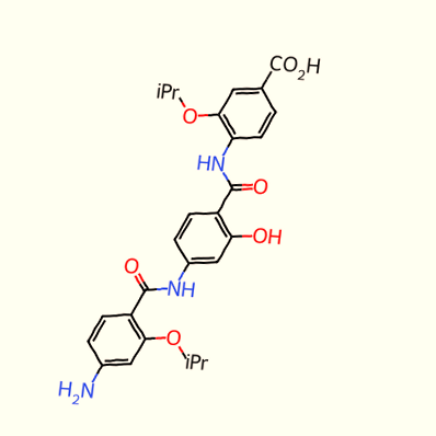 CC(C)Oc1cc(C(=O)O)ccc1NC(=O)c1ccc(NC(=O)c2ccc(N)cc2OC(C)C)cc1O